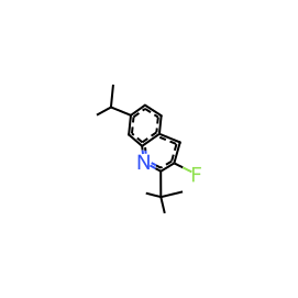 CC(C)c1ccc2cc(F)c(C(C)(C)C)nc2c1